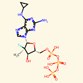 C[C@@]1(F)[C@H](O)[C@@H](COP(=O)(O)OP(=O)(O)OP(=O)(O)O)O[C@H]1n1cnc2c(NC3CC3)nc(N)nc21